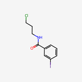 O=C(NCCCCl)c1cccc(I)c1